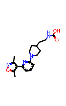 Cc1noc(C)c1-c1cccc(N2CCC(CCNC(=O)O)CC2)n1